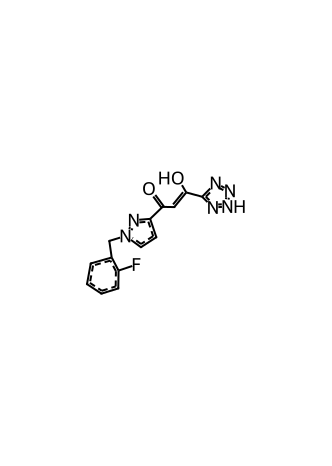 O=C(C=C(O)c1nn[nH]n1)c1ccn(Cc2ccccc2F)n1